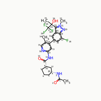 CC(=O)N[C@@H]1CCC[C@H](C(=O)Nc2cc(-c3cc(F)c4nn(C)c(C(C)(O)C(F)(F)F)c4c3)c(C)cn2)C1